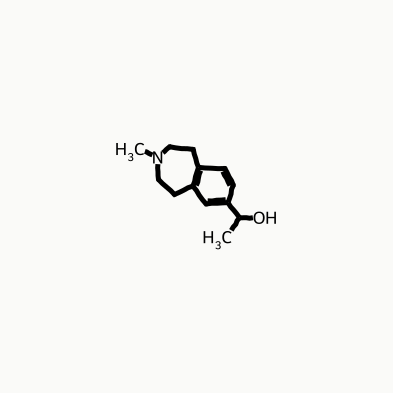 CC(O)c1ccc2c(c1)CCN(C)CC2